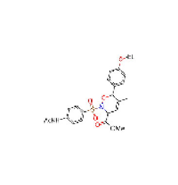 CCOc1ccc(C2ON(S(=O)(=O)c3ccc(NC(C)=O)cc3)C(C(=O)OC)C=C2C)cc1